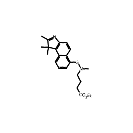 CCOC(=O)CCCN(C)Sc1cccc2c3c(ccc12)N=C(C)C3(C)C